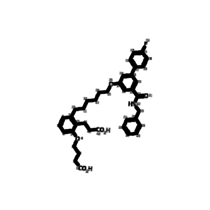 O=C(O)CCCOc1cccc(CCCCCCOc2cc(C(=O)NCc3ccccc3)cc(-c3ccc(F)cc3)c2)c1CCC(=O)O